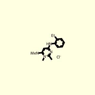 CCc1ccccc1Nc1cc(NC)[n+](C)c(C)n1.[Cl-]